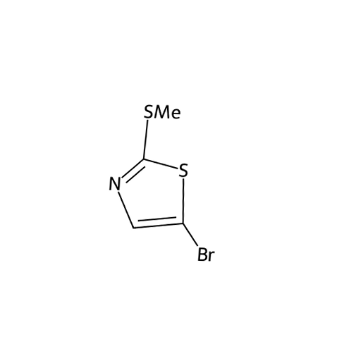 CSc1ncc(Br)s1